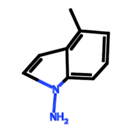 Cc1cccc2c1ccn2N